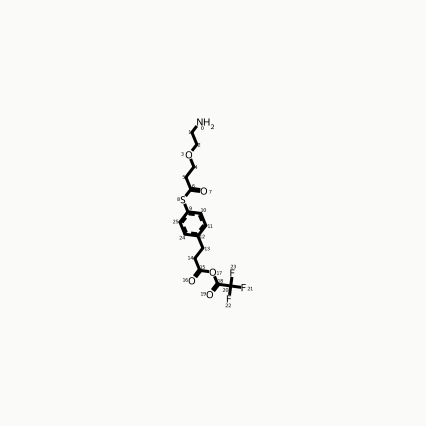 NCCOCCC(=O)Sc1ccc(CCC(=O)OC(=O)C(F)(F)F)cc1